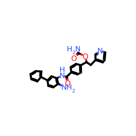 NC(=O)OC(Cc1cccnc1)c1ccc(C(=O)Nc2cc(-c3ccccc3)ccc2N)cc1